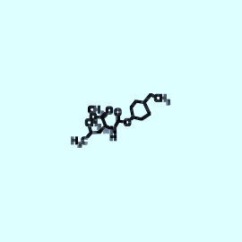 CCC1CCC(OC(=O)N[C@@H](CC(C)C)C(=O)OC)CC1